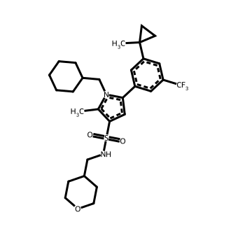 Cc1c(S(=O)(=O)NCC2CCOCC2)cc(-c2cc(C(F)(F)F)cc(C3(C)CC3)c2)n1CC1CCCCC1